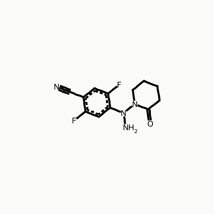 N#Cc1cc(F)c(N(N)N2CCCCC2=O)cc1F